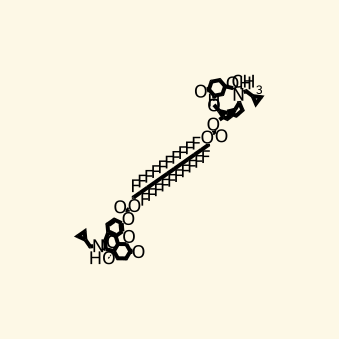 CC1N(CC2CC2)C2CCc3c2ccc(OC(=O)OCC(F)(F)C(F)(F)C(F)(F)C(F)(F)C(F)(F)C(F)(F)C(F)(F)C(F)(F)C(F)(F)C(F)(F)COC(=O)Oc2ccc4c5c2OC2C(=O)CC[C@@]6(O)C7N(CC8CC8)C47C[C@]526)c3O[C@@H]2C[C@@]1(O)CCC2=O